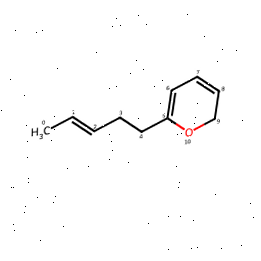 CC=CCCC1=CC=CCO1